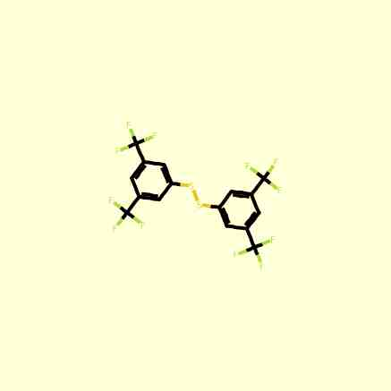 FC(F)(F)c1cc(SSc2cc(C(F)(F)F)cc(C(F)(F)F)c2)cc(C(F)(F)F)c1